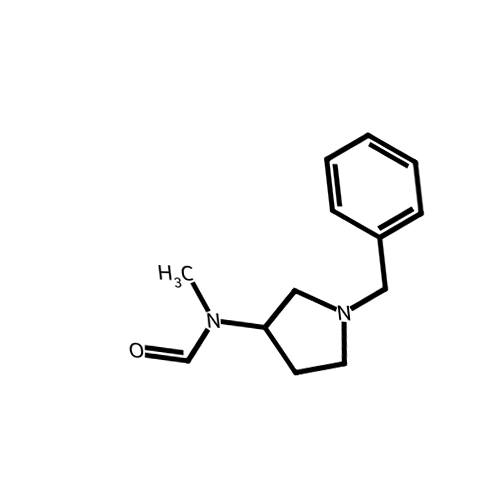 CN(C=O)C1CCN(Cc2ccccc2)C1